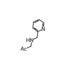 [CH2]C(=O)CNCc1ccccn1